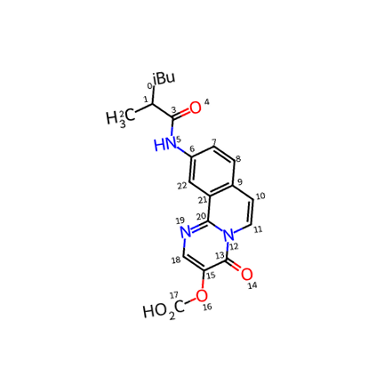 CCC(C)C(C)C(=O)Nc1ccc2ccn3c(=O)c(OC(=O)O)cnc3c2c1